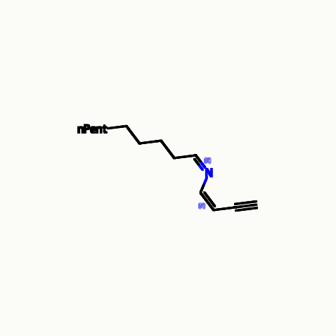 C#C/C=C\N=C/CCCCCCCCC